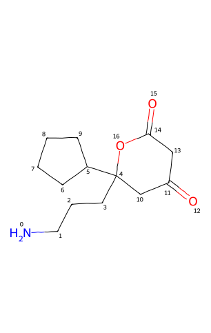 NCCCC1(C2CCCC2)CC(=O)CC(=O)O1